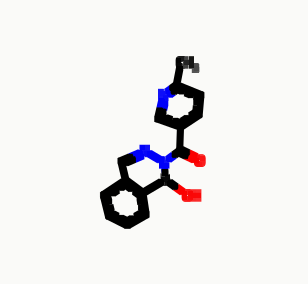 Cc1ccc(C(=O)N2N=Cc3ccccc3B2O)cn1